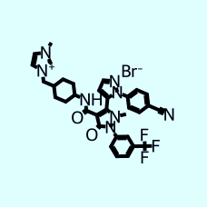 Cn1cc[n+](CC2CCC(NC(=O)c3c(-c4ccnn4-c4ccc(C#N)cc4)n(C)n(-c4cccc(C(F)(F)F)c4)c3=O)CC2)c1.[Br-]